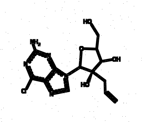 C=CC[C@@]1(O)C(O)C(CO)OC1n1cnc2c(Cl)nc(N)nc21